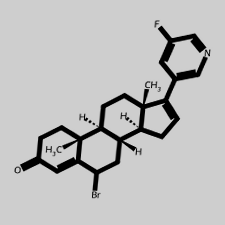 C[C@]12CCC(=O)C=C1C(Br)C[C@@H]1[C@@H]2CC[C@]2(C)C(c3cncc(F)c3)=CC[C@@H]12